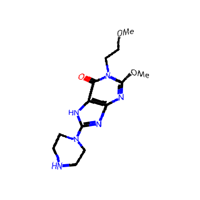 COCCn1c(OC)nc2nc(N3CCNCC3)[nH]c2c1=O